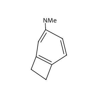 CNc1ccc2c(c1)CC2